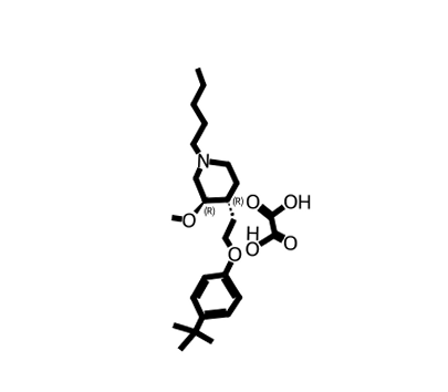 CCCCCN1CC[C@H](CCOc2ccc(C(C)(C)C)cc2)[C@@H](OC)C1.O=C(O)C(=O)O